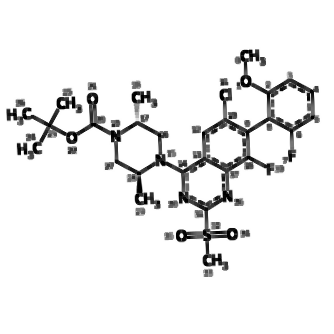 COc1cccc(F)c1-c1c(Cl)cc2c(N3C[C@@H](C)N(C(=O)OC(C)(C)C)C[C@@H]3C)nc(S(C)(=O)=O)nc2c1F